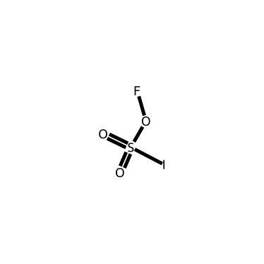 O=S(=O)(I)OF